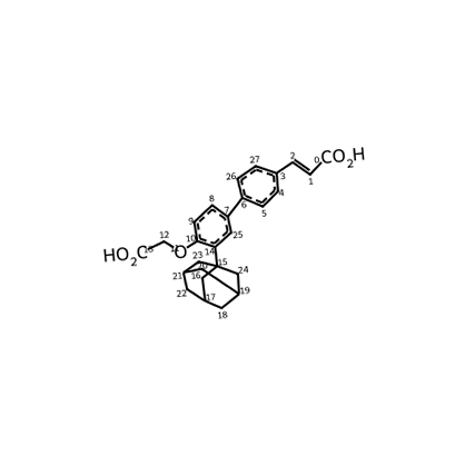 O=C(O)C=Cc1ccc(-c2ccc(OCC(=O)O)c(C34CC5CC(CC(C5)C3)C4)c2)cc1